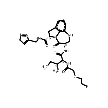 CC[C@H](C)[C@H](NC(=O)COCCF)C(=O)N[C@H]1CNc2cccc3c2N(C1=O)[C@H](C(=O)NCC1=CCN=N1)C3